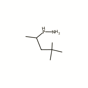 CC(CC(C)(C)C)PN